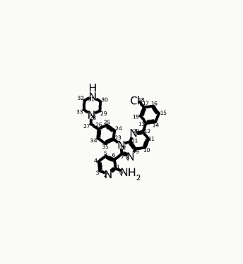 Nc1ncccc1-c1nc2ccc(-c3cccc(Cl)c3)nc2n1-c1ccc(CN2CCNCC2)cc1